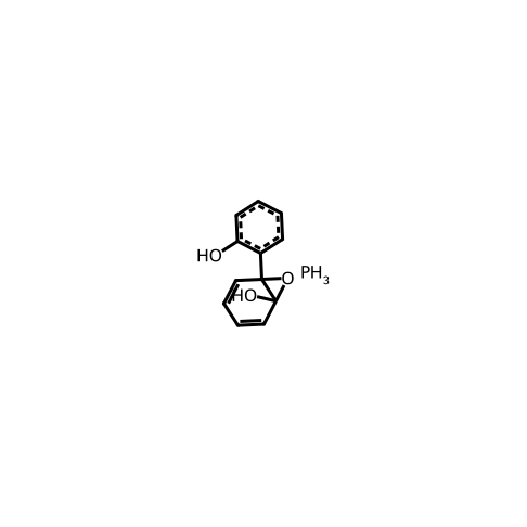 Oc1ccccc1C12C=CC=CC1(O)O2.P